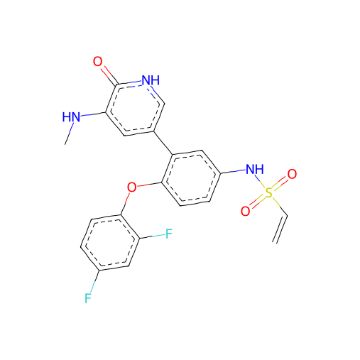 C=CS(=O)(=O)Nc1ccc(Oc2ccc(F)cc2F)c(-c2c[nH]c(=O)c(NC)c2)c1